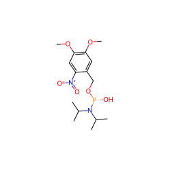 COc1cc(CO[P@](O)N(C(C)C)C(C)C)c([N+](=O)[O-])cc1OC